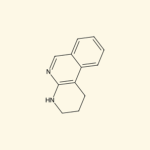 c1ccc2c3c(ncc2c1)NCCC3